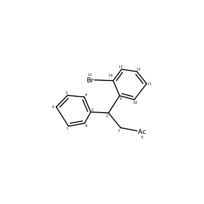 CC(=O)CC(c1ccccc1)c1ccccc1Br